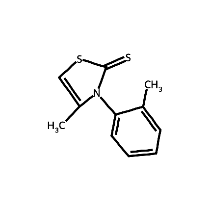 Cc1ccccc1-n1c(C)csc1=S